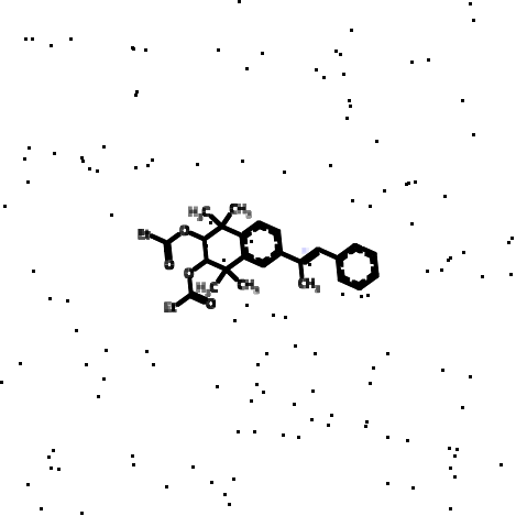 CCC(=O)OC1C(OC(=O)CC)C(C)(C)c2cc(/C(C)=C/c3ccccc3)ccc2C1(C)C